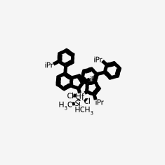 CC(C)C1=Cc2c(-c3ccccc3C(C)C)cccc2[CH]1[Hf]([Cl])([Cl])([CH]1C(C(C)C)=Cc2c(-c3ccccc3C(C)C)cccc21)[SiH](C)C